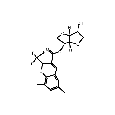 Cc1cc(C)c2c(c1)C=C(C(=O)O[C@H]1CO[C@H]3[C@@H]1OC[C@H]3O)C(C(F)(F)F)O2